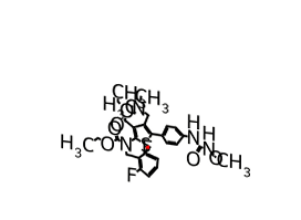 CCOC(=O)c1c(N(Cc2c(F)cccc2F)C(=O)OCC)sc(-c2ccc(NC(=O)NOC)cc2)c1CN(C)C